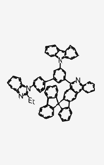 CCc1nc2ccccc2n1-c1ccc(-c2cc(-c3nc4ccccc4c4cc5c(cc34)C3(c4ccccc4-c4ccccc43)c3ccccc3-5)cc(-n3c4ccccc4c4ccccc43)c2)cc1